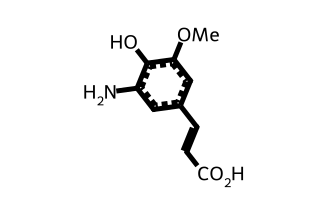 COc1cc(C=CC(=O)O)cc(N)c1O